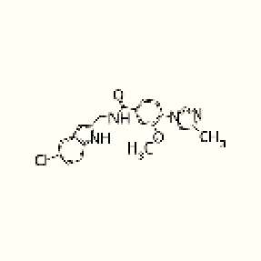 COc1cc(C(=O)NCc2cc3cc(Cl)ccc3[nH]2)ccc1-n1cnc(C)c1